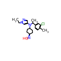 CCn1cc(N(C2CCC(=NO)CC2)C(C)c2ccc(C)c(Cl)c2)cn1